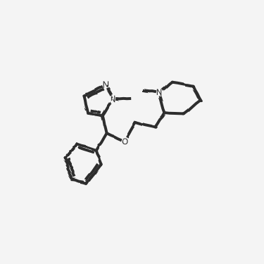 CN1CCCCC1CCOC(c1ccccc1)c1ccnn1C